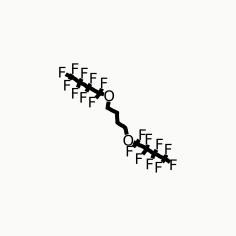 FC(F)(F)C(F)(F)C(F)(F)C(F)(F)OCCCCOC(F)(F)C(F)(F)C(F)(F)C(F)(F)F